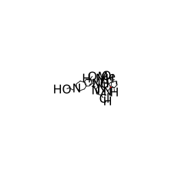 COc1cc2c(cc1Nc1ncc(Cl)c(N[C@H]3[C@@H](OC(N)=O)[C@@H]4C=C[C@H]3C4)n1)CCN(CCO)CC2